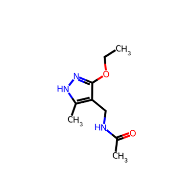 CCOc1n[nH]c(C)c1CNC(C)=O